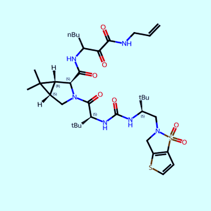 C=CCNC(=O)C(=O)C(CCCC)NC(=O)[C@@H]1[C@@H]2[C@H](CN1C(=O)[C@@H](NC(=O)N[C@H](CN1Cc3sccc3S1(=O)=O)C(C)(C)C)C(C)(C)C)C2(C)C